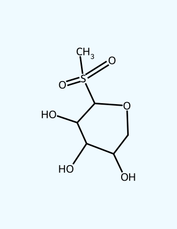 CS(=O)(=O)C1OCC(O)C(O)C1O